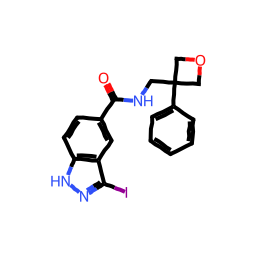 O=C(NCC1(c2ccccc2)COC1)c1ccc2[nH]nc(I)c2c1